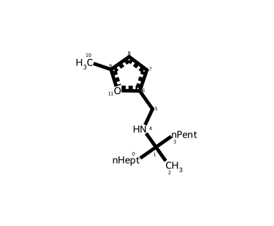 CCCCCCCC(C)(CCCCC)NCc1ccc(C)o1